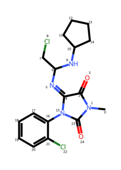 CN1C(=O)/C(=N\C(CCl)NC2CCCC2)N(c2ccccc2Cl)C1=O